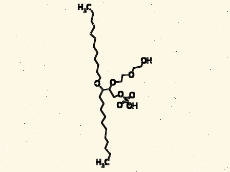 CCCCCCCCCCCCOC(CCCCCCCCCCC)C(COS(=O)(=O)O)OCCOCCO